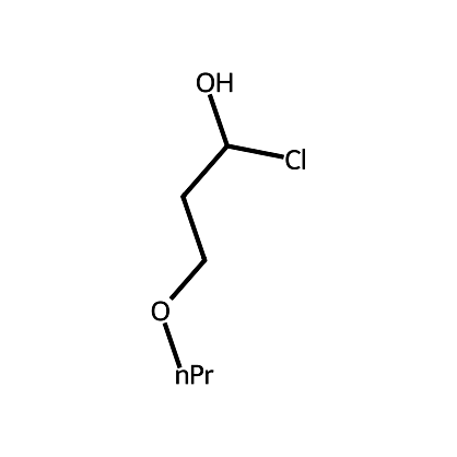 [CH2]CCOCCC(O)Cl